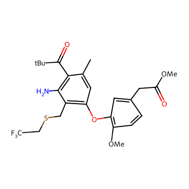 COC(=O)Cc1ccc(OC)c(Oc2cc(C)c(C(=O)C(C)(C)C)c(N)c2CSCC(F)(F)F)c1